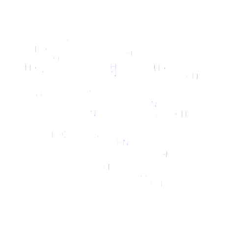 COC(=O)CCC1=C(C)c2cc3[nH]c(cc4nc(cc5[nH]c(cc1n2)c(CCC(=O)OC)c5C)C(C(C)OC)=C4C)c(C(C)OC)c3C